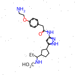 CCC(NC(=O)O)C1CCC(c2cc(NC(=O)Cc3ccc(OCCN)cc3)n[nH]2)C1